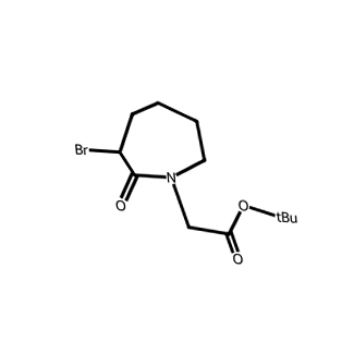 CC(C)(C)OC(=O)CN1CCCCC(Br)C1=O